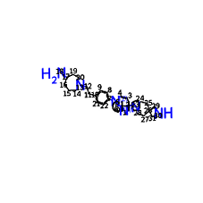 C/N=C(\C=C/N(C=O)c1ccc(CCN2CCCC(N)CC2)cc1)N1CCC2(CC1)CNC2